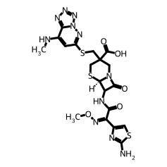 CNc1cc(SCC2(C(=O)O)CS[C@@H]3C(NC(=O)C(=NOC)c4csc(N)n4)C(=O)N3C2)nn2nnnc12